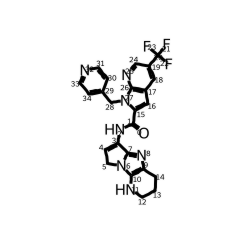 O=C(NC1=CCn2c1nc1c2NCCC1)c1cc2cc(C(F)(F)F)cnc2n1Cc1ccncc1